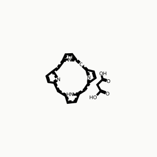 C1=Cc2cc3ccc(cc4nc(cc5ccc(cc1n2)[nH]5)C=C4)[nH]3.O=C(O)CC(=O)O